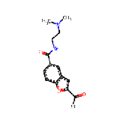 CCC(=O)c1cc2cc(C(=O)NCCN(C)C)ccc2o1